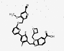 COc1cc(C#N)ncc1COc1cccc(-c2cc(F)c(Cc3nc4ccc(C(=O)O)cc4n3CC3CCO3)cc2F)n1